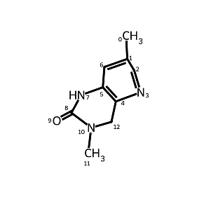 Cc1cnc2c(c1)NC(=O)N(C)C2